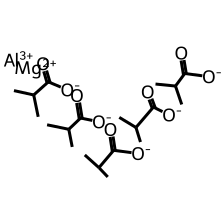 CC(C)C(=O)[O-].CC(C)C(=O)[O-].CC(C)C(=O)[O-].CC(C)C(=O)[O-].CC(C)C(=O)[O-].[Al+3].[Mg+2]